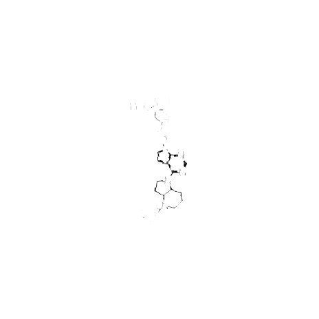 C[Si](C)(C)CCOCn1ccc2c(N3CCC4C3CCCN4C(=O)O)ncnc21